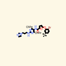 COc1nc(NCCCn2ccnc2)nc(OC)c1NC(=O)c1ccc(Oc2cc([Si](C)(C)C)ccc2Br)o1